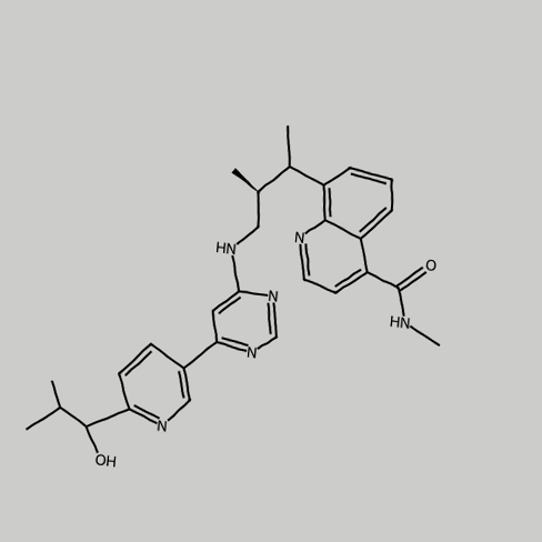 CNC(=O)c1ccnc2c(C(C)[C@H](C)CNc3cc(-c4ccc(C(O)C(C)C)nc4)ncn3)cccc12